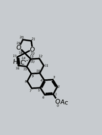 CC(=O)Oc1ccc2c(c1)CCC1C2CC[C@@]2(C)C1C=CC21OCCO1